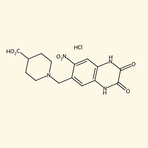 Cl.O=C(O)C1CCN(Cc2cc3[nH]c(=O)c(=O)[nH]c3cc2[N+](=O)[O-])CC1